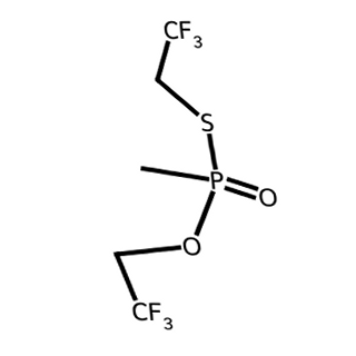 CP(=O)(OCC(F)(F)F)SCC(F)(F)F